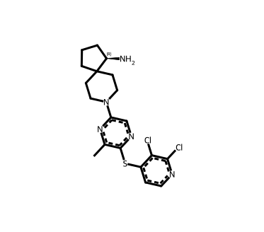 Cc1nc(N2CCC3(CCC[C@H]3N)CC2)cnc1Sc1ccnc(Cl)c1Cl